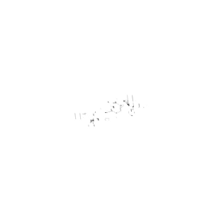 CCO[SH](=O)=Nc1ccc(C2CCN(C(=O)O)CC2)nc1